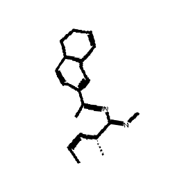 C/C=C\[C@@H](C)/C(N=C(C)C1=CC2C=CCCC2C=C1)=N/C